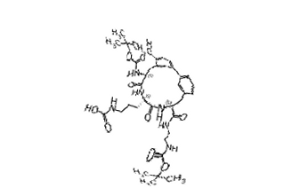 CC(C)(C)OC(=O)NCCNC(=O)[C@@H]1Cc2cccc(c2)-c2ccc(O)c(c2)C[C@H](NC(=O)OC(C)(C)C)C(=O)N[C@@H](CCCNC(=O)O)C(=O)N1